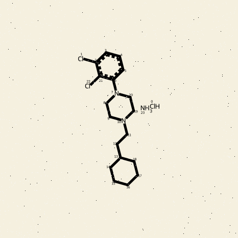 Cl.Clc1cccc(N2CCN(CCC3CCCCC3)CC2)c1Cl.N